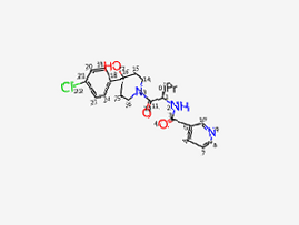 CC(C)[C@@H](NC(=O)c1cccnc1)C(=O)N1CCC(O)(c2ccc(Cl)cc2)CC1